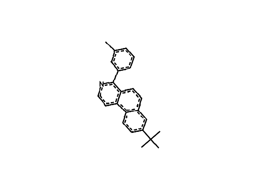 Cc1cccc(-c2nccc3c2ccc2cc(C(C)(C)C)ccc23)c1